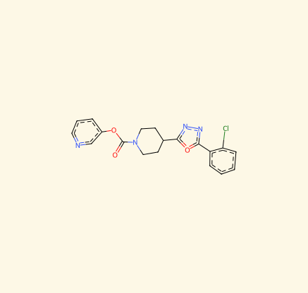 O=C(Oc1cccnc1)N1CCC(c2nnc(-c3ccccc3Cl)o2)CC1